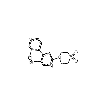 O=S1(=O)CCN(c2cc(-c3ccncc3Cl)c(Br)cn2)CC1